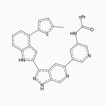 CCCC(=O)Nc1cncc(-c2cc3c(-c4cc5c(-c6ccc(C)s6)cccc5[nH]4)n[nH]c3cn2)c1